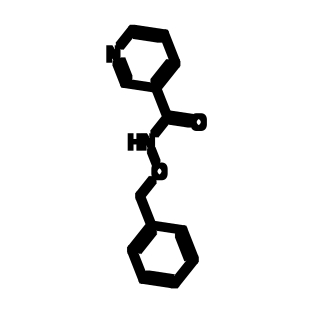 O=C(NOCc1ccccc1)c1cccnc1